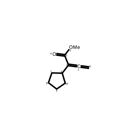 C=C=C(C(=O)OC)C1CCCC1